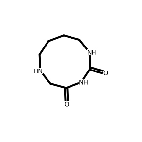 O=C1CNCCCCNC(=O)N1